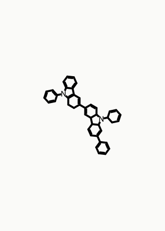 C1=CCC(N2C3C=CC(C4=Cc5c(n(-c6ccccc6)c6ccccc56)CC4)=CC3C3C=CC(c4ccccc4)=CC32)C=C1